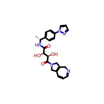 C[C@@H](NC(=O)[C@H](O)[C@@H](O)C(=O)N1CC2=C(CN=CC=C2)C1)c1ccc(-n2cccn2)cc1